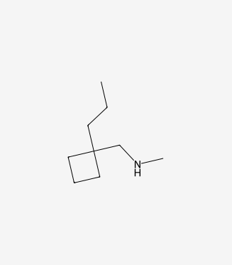 CCCC1(CNC)CCC1